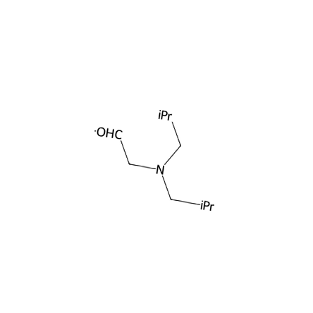 CC(C)CN(C[C]=O)CC(C)C